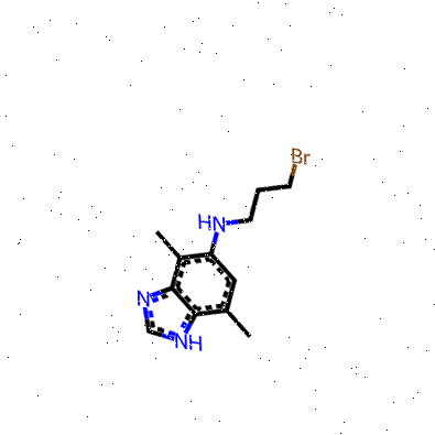 Cc1c(NCCCBr)cc(C)c2[nH]cnc12